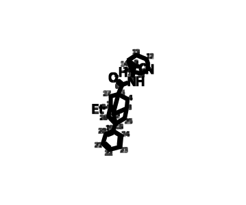 CC[C@]12CC3CC(C(=O)N[C@@H]4CN5CCC4CC5)(CC(c4ccccc4)(C3)C1)C2